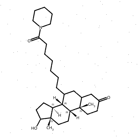 C[C@]12CCC(=O)CC1CC(CCCCCCC(=O)N1CCCCC1)[C@@H]1[C@H]2CC[C@]2(C)C(O)CC[C@@H]12